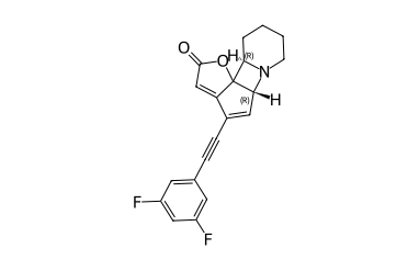 O=C1C=C2C(C#Cc3cc(F)cc(F)c3)=C[C@H]3N4CCCC[C@@H]4C23O1